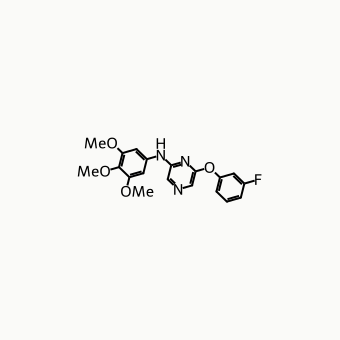 COc1cc(Nc2cncc(Oc3cccc(F)c3)n2)cc(OC)c1OC